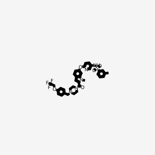 Cc1cccc(S(=O)(=O)Nc2ccc(Oc3ccc4cc(C(=O)N5CCN(Cc6ccc(OCC(F)(F)F)cc6)CC5)n(C)c4c3)nc2)c1